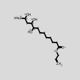 C=CCOC(=O)CCCCCCCC(O)C(O)CC(O)CCCCCC